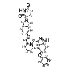 O=C1CCC(N2Cc3ccc(OC[C@@H]4CCCCN4Cc4n[nH]c5ccc(Oc6cccnc6)cc45)cc3C2)C(=O)N1